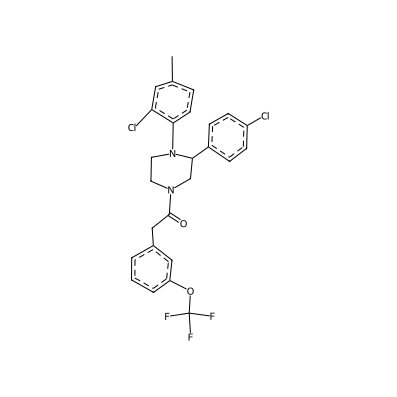 Cc1ccc(N2CCN(C(=O)Cc3cccc(OC(F)(F)F)c3)CC2c2ccc(Cl)cc2)c(Cl)c1